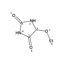 CCOC1NC(=O)NC1=O